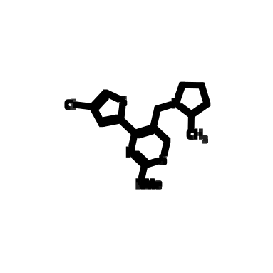 CNC1=NC(c2cc(Cl)cs2)=C(CN2CCCC2C)CS1